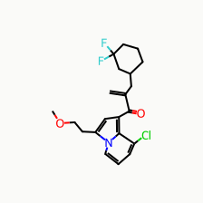 C=C(CC1CCCC(F)(F)C1)C(=O)c1cc(CCOC)n2cccc(Cl)c12